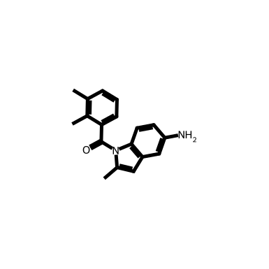 Cc1cccc(C(=O)n2c(C)cc3cc(N)ccc32)c1C